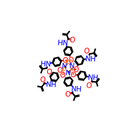 C=C(C)C(=O)Nc1ccc(OP2(Oc3ccc(NC(=O)C(=C)C)cc3)=NP(Oc3ccc(NC(=O)C(=C)C)cc3)(Oc3ccc(NC(=O)C(=C)C)cc3)=NP(Oc3ccc(NC(=O)C(=C)C)cc3)(Oc3cccc(NC(=O)C(=C)C)c3)=N2)cc1